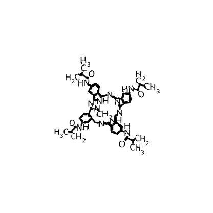 C=N/C1=N\c2[nH]c(c3ccc(NC(=O)C(=C)C)cc23)/N=C2N=C(/N=c3\[nH]/c(c4ccc(NC(=O)C(=C)C)cc34)=N\Cc3cc(NC(=O)C(=C)C)ccc31)c1ccc(NC(=O)C(=C)C)cc1\2